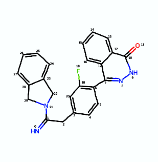 N=C(Cc1ccc(-c2n[nH]c(=O)c3ccccc23)c(F)c1)N1Cc2ccccc2C1